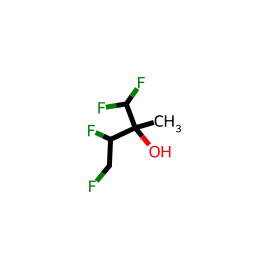 CC(O)(C(F)F)C(F)CF